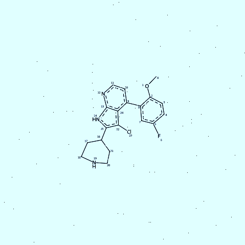 COc1ccc(F)cc1-c1ccnc2[nH]c(C3CCNCC3)c(Cl)c12